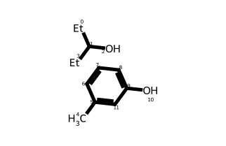 CCC(O)CC.Cc1cccc(O)c1